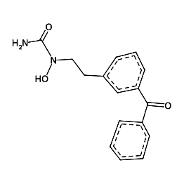 NC(=O)N(O)CCc1cccc(C(=O)c2ccccc2)c1